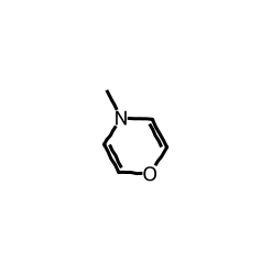 CN1C=COC=C1